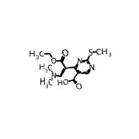 CCOC(=O)C(=CN(C)C)c1nc(SC)ncc1C(=O)O